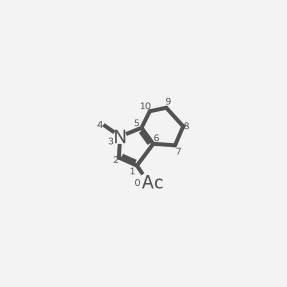 CC(=O)c1cn(C)c2c1CCCC2